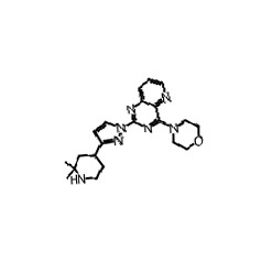 CC1(C)CC(c2ccn(-c3nc(N4CCOCC4)c4ncccc4n3)n2)CCN1